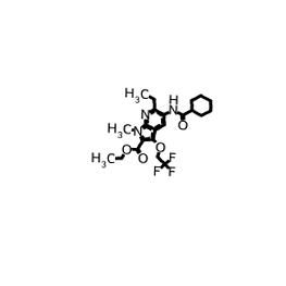 CCOC(=O)c1c(OCC(F)(F)F)c2cc(NC(=O)C3CCCCC3)c(CC)nc2n1C